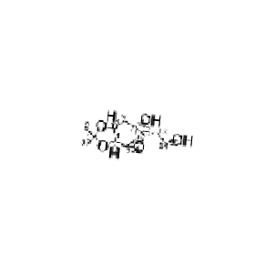 CC1(C)O[C@@H]2C3C[C@@](O)(C[C@H]2O1)[C@H](CCO)O3